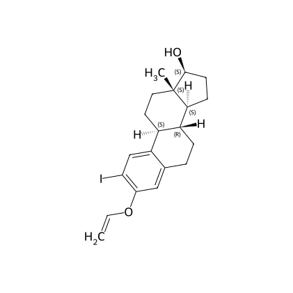 C=COc1cc2c(cc1I)[C@H]1CC[C@]3(C)[C@@H](O)CC[C@H]3[C@@H]1CC2